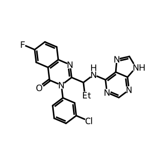 CCC(Nc1ncnc2[nH]cnc12)c1nc2ccc(F)cc2c(=O)n1-c1cccc(Cl)c1